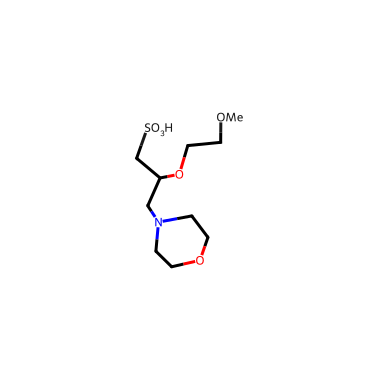 COCCOC(CN1CCOCC1)CS(=O)(=O)O